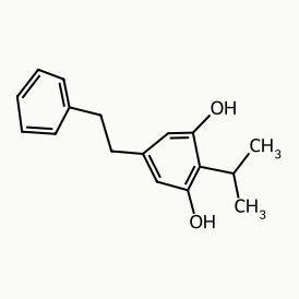 CC(C)c1c(O)cc(CCc2ccccc2)cc1O